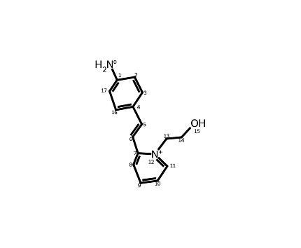 Nc1ccc(/C=C/c2cccc[n+]2CCO)cc1